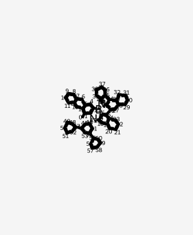 Cc1c2c(cc3cc4ccccc4cc13)B1c3c(cc4ccccc4c3-c3cc4ccccc4c4c5ccccc5n1c34)N2c1cc(-c2ccccc2)cc(-c2ccccc2)c1